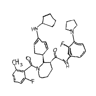 Cc1cccc(F)c1C(=O)N1CCCC(C(=O)Nc2cccc(N3CCCC3)c2F)C1[C@@H]1C=CC(NC2CCCC2)=CC1